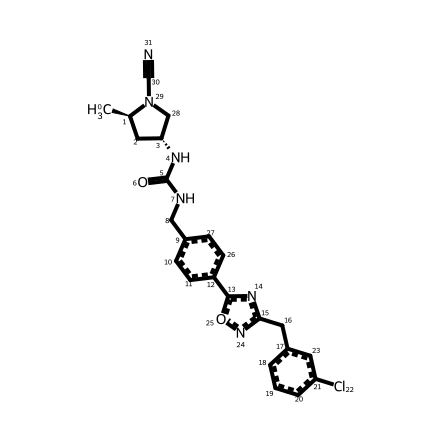 C[C@@H]1C[C@@H](NC(=O)NCc2ccc(-c3nc(Cc4cccc(Cl)c4)no3)cc2)CN1C#N